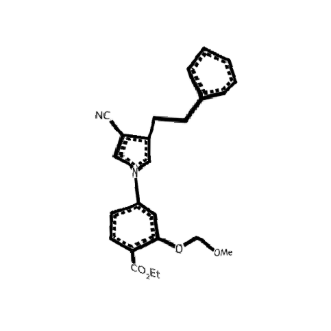 CCOC(=O)c1ccc(-n2cc(C#N)c(CCc3ccccc3)c2)cc1OCOC